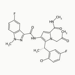 CNC(=O)c1cc(NC(=O)c2nn(C)c3ccc(F)cc23)c([C@@H](C)c2cc(F)ccc2Cl)n1CC(C)=O